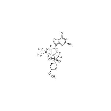 COc1ccc(S(=O)(=O)C(F)(Cl)[C@@]2(C(C)=O)O[C@@H](n3cnc4c(=O)[nH]c(N)nc43)[C@@H]3OC(C)(C)O[C@@H]32)cc1